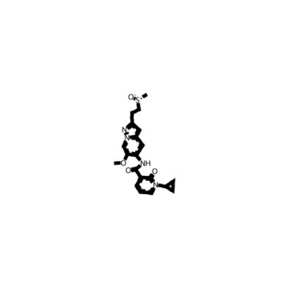 COc1cn2nc(CC[S+](C)[O-])cc2cc1NC(=O)c1cccn(C2CC2)c1=O